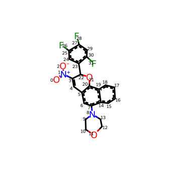 O=[N+]([O-])C1=Cc2cc(N3CCOCC3)c3ccccc3c2OC1c1cc(F)c(F)cc1F